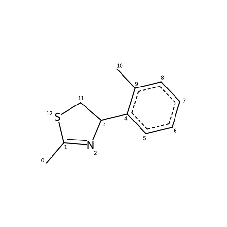 CC1=NC(c2ccccc2C)CS1